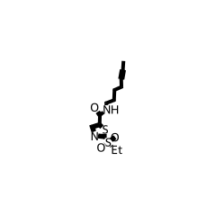 CC#CCCCCNC(=O)c1cnc(S(=O)(=O)CC)s1